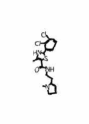 CC1=C(C(=O)NCCC2CCCN2C)SC(c2cccc(Cl)c2Cl)N1